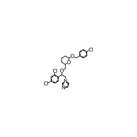 Clc1ccc(COC2CCCC(COC(Cn3ccnc3)c3ccc(Cl)cc3Cl)O2)cc1